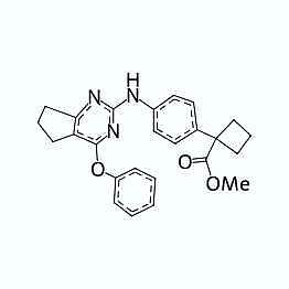 COC(=O)C1(c2ccc(Nc3nc4c(c(Oc5ccccc5)n3)CCC4)cc2)CCC1